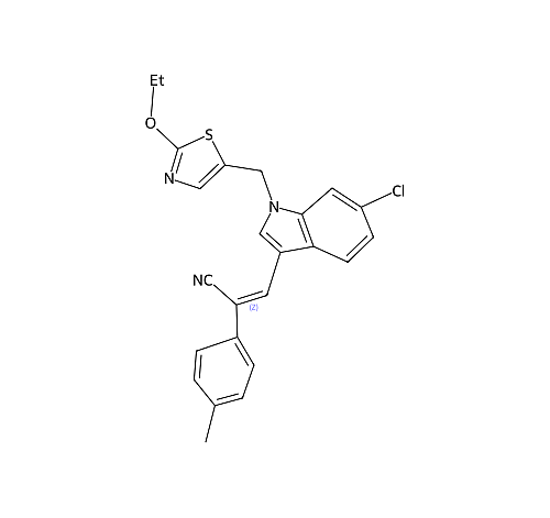 CCOc1ncc(Cn2cc(/C=C(\C#N)c3ccc(C)cc3)c3ccc(Cl)cc32)s1